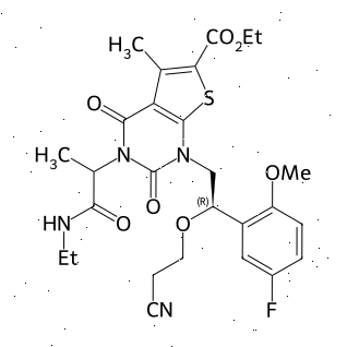 CCNC(=O)C(C)n1c(=O)c2c(C)c(C(=O)OCC)sc2n(C[C@H](OCCC#N)c2cc(F)ccc2OC)c1=O